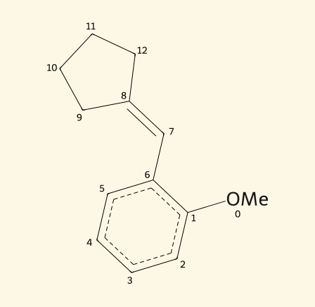 COc1ccccc1C=C1CCCC1